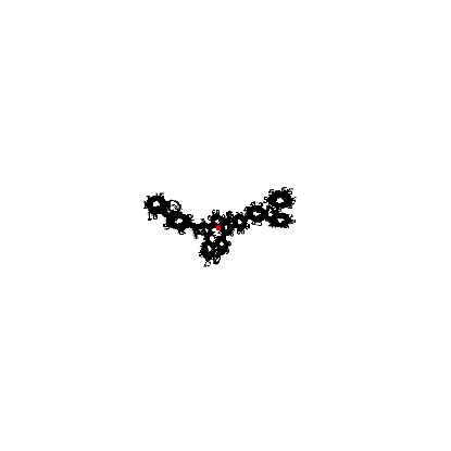 c1ccc(-c2cc(-c3ccc4c(c3)oc3ccccc34)nc(-c3cccc4oc5ccc(-c6ccc7sc8cc(-c9ccc%10c(c9)c9ccccc9n%10-c9ccccc9)ccc8c7c6)cc5c34)c2)cc1